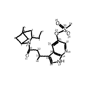 CCC1CC2(C)CC(C2)N1C(=O)CC(C)c1c[nH]c2ncc(OS(C)(=O)=O)cc12